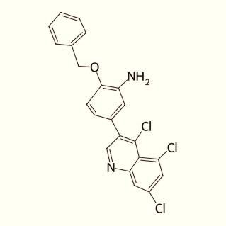 Nc1cc(-c2cnc3cc(Cl)cc(Cl)c3c2Cl)ccc1OCc1ccccc1